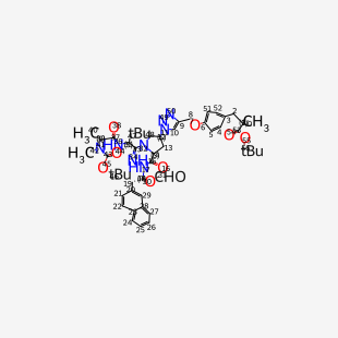 C[C@@H](Cc1ccc(OCc2cn([C@H]3C[C@@H](C(=O)N[C@@H](Cc4ccc5ccccc5c4)OC=O)N(C(=N)[C@@H](NC(=O)[C@H](C)N(C)C(=O)OC(C)(C)C)C(C)(C)C)C3)nn2)cc1)C(=O)OC(C)(C)C